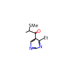 CCc1ncncc1C(=O)C(C)SC